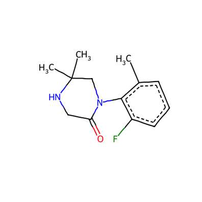 Cc1cccc(F)c1N1CC(C)(C)NCC1=O